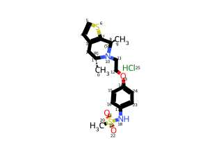 C[C@@H]1Cc2ccsc2[C@H](C)N1CCOc1ccc(NS(C)(=O)=O)cc1.Cl